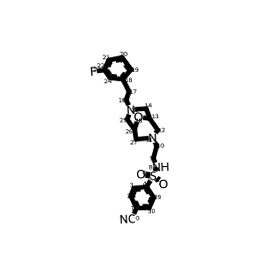 N#Cc1ccc(S(=O)(=O)NCCN2CC3CN(CCc4cccc(F)c4)CC(C2)O3)cc1